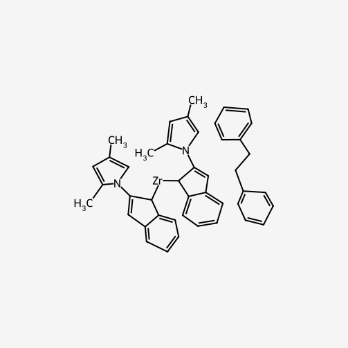 Cc1cc(C)n(C2=Cc3ccccc3[CH]2[Zr][CH]2C(n3cc(C)cc3C)=Cc3ccccc32)c1.c1ccc(CCc2ccccc2)cc1